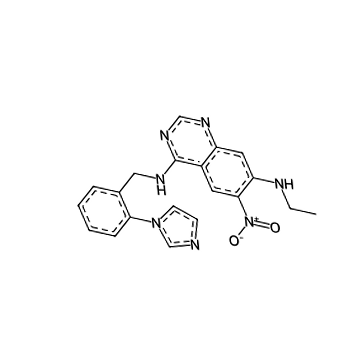 CCNc1cc2ncnc(NCc3ccccc3-n3ccnc3)c2cc1[N+](=O)[O-]